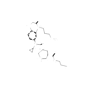 COCCCN1C(=O)COc2ccc(N(C(=O)[C@H]3CNC[C@@H](C(=O)NCCC(C)C)C3)C3CC3)cc21